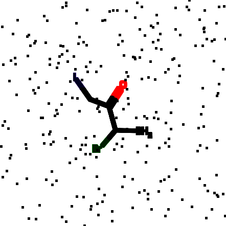 BC(Br)C(=O)CI